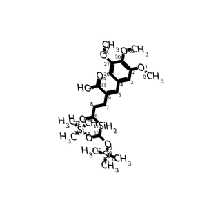 COc1cc(C=C(CCC(C)[SiH2]C(O[Si](C)(C)C)O[Si](C)(C)C)C(=O)O)cc(OC)c1OC